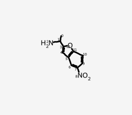 CC(N)c1cc2cc([N+](=O)[O-])ccc2o1